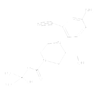 CC(C)(C)OC(=O)N1CCN(c2ccc(N)cc2C#N)[C@H](CO)C1